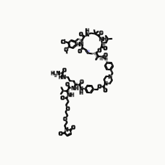 COc1ccc(C[C@H]2NC(=O)/C=C/C[C@@H]([C@H](C)[C@H]3O[C@@H]3c3ccc(CN4CCN(C(=O)OCc5ccc(NC(=O)[C@H](CCCNC(N)=O)NC(=O)[C@@H](NC(=O)CCOCCOCCN6C(=O)C=CC6=O)C(C)C)cc5)CC4)cc3)OC(=O)[C@H](CC(C)C)NC(=O)C(C)(C)CNC2=O)cc1Cl